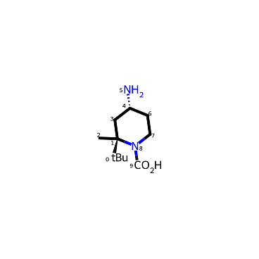 CC(C)(C)[C@@]1(C)C[C@H](N)CCN1C(=O)O